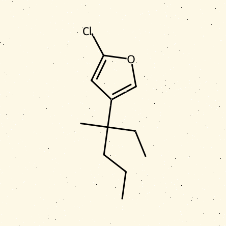 CCCC(C)(CC)c1coc(Cl)c1